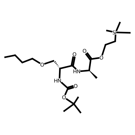 CCCCOC[C@@H](NC(=O)OC(C)(C)C)C(=O)N[C@H](C)C(=O)OCC[Si](C)(C)C